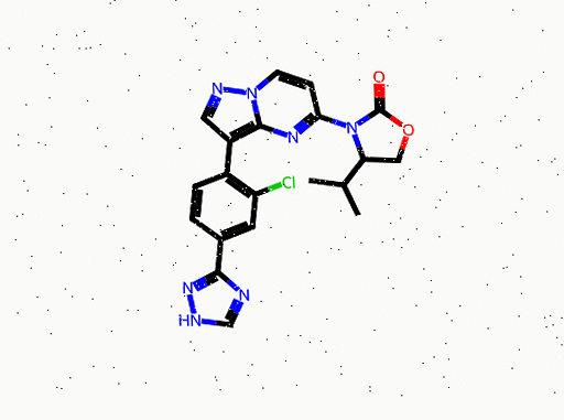 CC(C)C1COC(=O)N1c1ccn2ncc(-c3ccc(-c4nc[nH]n4)cc3Cl)c2n1